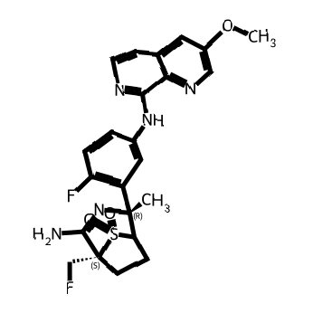 COc1cnc2c(Nc3ccc(F)c([C@@]4(C)N=C(N)[C@]5(CF)CCC4S5(=O)=O)c3)nccc2c1